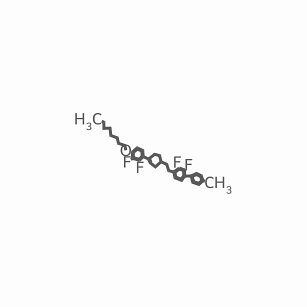 CCCCCCCCOc1ccc(C2=CCC(CCc3ccc(-c4ccc(C)cc4)c(F)c3F)CC2)c(F)c1F